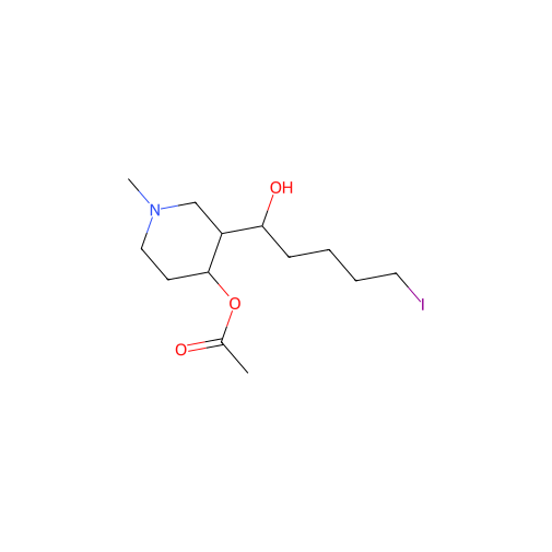 CC(=O)OC1CCN(C)CC1C(O)CCCCI